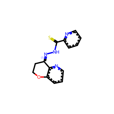 S=C(N/N=C1/CCOc2cccnc21)c1ccccn1